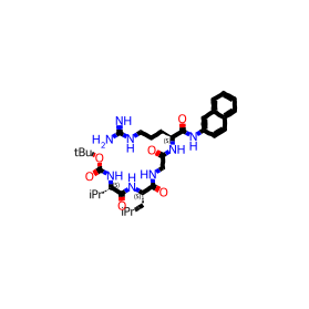 CC(C)C[C@H](NC(=O)[C@@H](NC(=O)OC(C)(C)C)C(C)C)C(=O)NCC(=O)N[C@@H](CCCNC(=N)N)C(=O)Nc1ccc2ccccc2c1